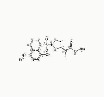 CCOc1ncc(Cl)c2c(S(=O)(=O)N3CC[C@@H](N(C)C(=O)OC(C)(C)C)C3)cccc12